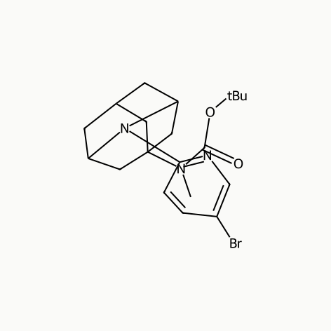 CN(C(=O)OC(C)(C)C)C12CC3CC(C1)N(c1ccc(Br)cn1)C(C3)C2